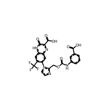 O=C(Nc1cccc(C(=O)O)c1)OCc1nccn1-c1cc2nc(C(=O)O)c(=O)[nH]c2cc1C(F)(F)F